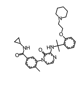 Cc1ccc(C(=O)NC2CC2)cc1-n1ccnc(NC(C)(C)c2ccccc2OCCN2CCCCC2)c1=O